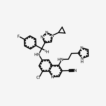 [2H]C(Nc1cc(Cl)c2ncc(C#N)c(NCCc3ncc[nH]3)c2c1)(c1ccc(F)cc1)c1cn(C2CC2)nn1